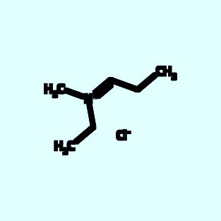 CCC=[N+](C)CC.[Cl-]